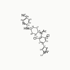 CC(=O)N(c1c(Cl)cc(-c2cnn(C)c2)cc1Cl)C1CCC(Nc2ccc(C#N)cn2)CC1